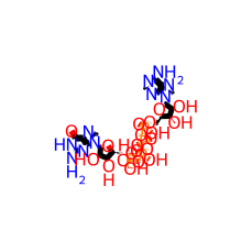 Nc1nc2c(ncn2[C@@H]2O[C@H](COP(=O)(O)OP(=O)(O)OP(=O)(O)OP(=O)(O)OC[C@H]3O[C@@H](n4cnc5c(N)ncnc54)[C@H](O)[C@@H]3O)[C@@H](O)[C@H]2O)c(=O)[nH]1